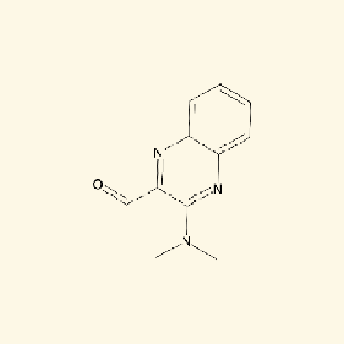 CN(C)c1nc2ccccc2nc1C=O